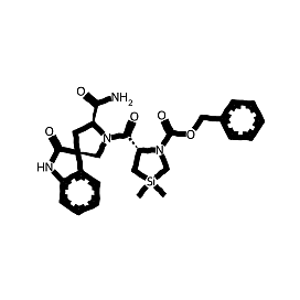 C[Si]1(C)C[C@H](C(=O)N2C[C@]3(C[C@H]2C(N)=O)C(=O)Nc2ccccc23)N(C(=O)OCc2ccccc2)C1